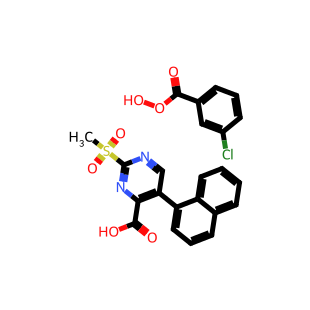 CS(=O)(=O)c1ncc(-c2cccc3ccccc23)c(C(=O)O)n1.O=C(OO)c1cccc(Cl)c1